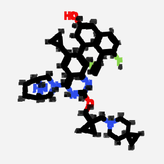 C#Cc1c(F)ccc2c1C(c1c(C3CC3)cc3c(N4CC5CCC(C4)N5)nc(OCC4(CN5CCC6(CC5)CC6)CC4)nc3c1F)CC(O)=C2